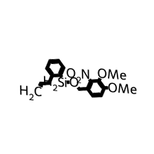 C=CCc1ccccc1[SiH2]OCc1ccc(OC)c(OC)c1[N+](=O)[O-]